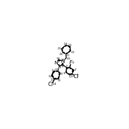 Fc1cc(Cl)ccc1-c1c(-c2ccc(Cl)cc2)ncn1Cc1ccccc1